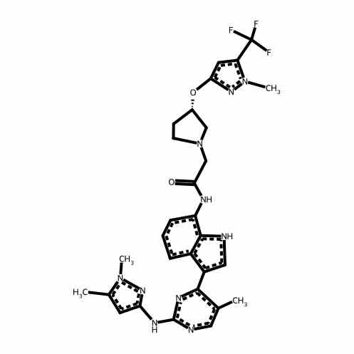 Cc1cnc(Nc2cc(C)n(C)n2)nc1-c1c[nH]c2c(NC(=O)CN3CC[C@H](Oc4cc(C(F)(F)F)n(C)n4)C3)cccc12